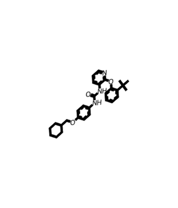 CC(C)(C)c1ccccc1Oc1ncccc1NC(=O)Nc1ccc(OCC2CCCCC2)cc1